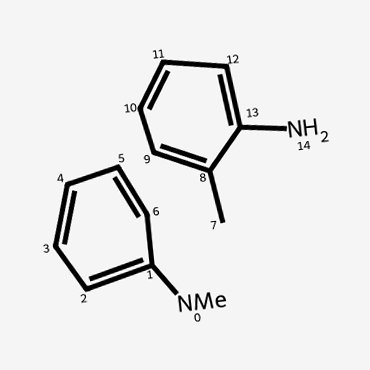 CNc1ccccc1.Cc1ccccc1N